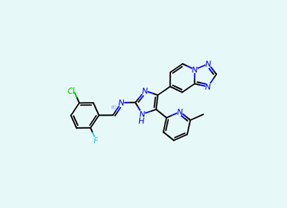 Cc1cccc(-c2[nH]c(/N=C/c3cc(Cl)ccc3F)nc2-c2ccn3ncnc3c2)n1